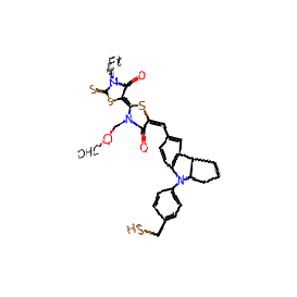 CCN1C(=O)/C(=c2\s/c(=C/c3ccc4c(c3)C3CCCC3N4c3ccc(CS)cc3)c(=O)n2COC=O)SC1=S